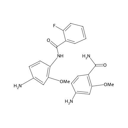 COc1cc(N)ccc1C(N)=O.COc1cc(N)ccc1NC(=O)c1ccccc1F